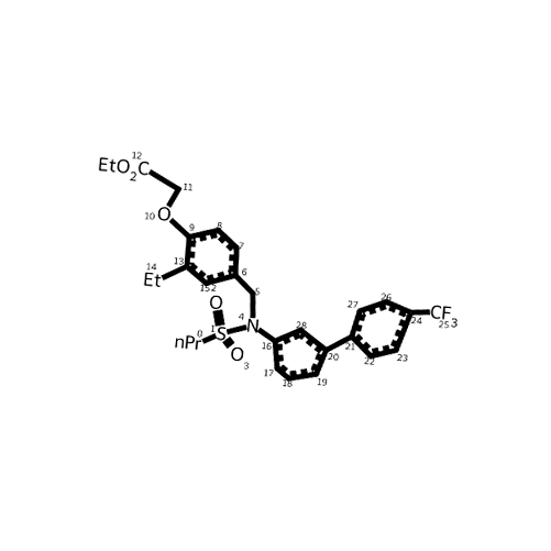 CCCS(=O)(=O)N(Cc1ccc(OCC(=O)OCC)c(CC)c1)c1cccc(-c2ccc(C(F)(F)F)cc2)c1